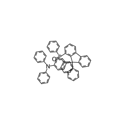 O=P(c1ccccc1)(c1ccccc1)c1cccc2c1C(c1ccccc1)(c1ccc(N(c3ccccc3)c3ccccc3)cc1)c1ccccc1-2